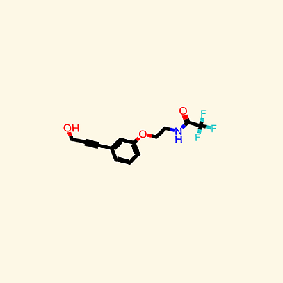 O=C(NCCOc1cccc(C#CCO)c1)C(F)(F)F